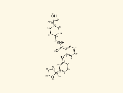 CC1(c2cccc(Oc3ncccc3C(=O)NCC3CCC(C(C)(C)O)CC3)c2)OCCO1